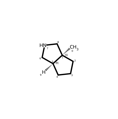 C[C@]12CCC[C@H]1CNC2